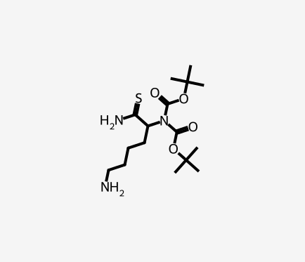 CC(C)(C)OC(=O)N(C(=O)OC(C)(C)C)C(CCCCN)C(N)=S